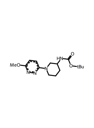 COc1ccc(N2CCCC(NC(=O)OC(C)(C)C)C2)nn1